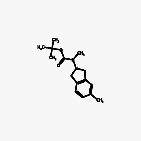 Cc1ccc2c(c1)CN(N(C)C(=O)OC(C)(C)C)C2